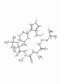 CCC(C)(C)CC(C)(C)C(=O)O[C@@H](C)C(=O)O[C@@H](C)C(=O)O[C@H](COc1nsnc1N1CCOCC1)CN(C(C)=O)C(C)(C)C